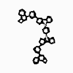 c1cc(-c2ccc3c(c2)c2ccccc2n3-c2ccc(-n3c4ccccc4c4cc(-c5cccc(-c6cc7c(c8ccccc68)CC7)c5)ccc43)cc2)cc(-c2cc3c(c4ccccc24)CC3)c1